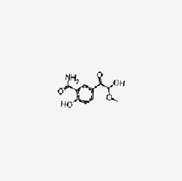 COC(O)C(=O)c1ccc(O)c(C(N)=O)c1